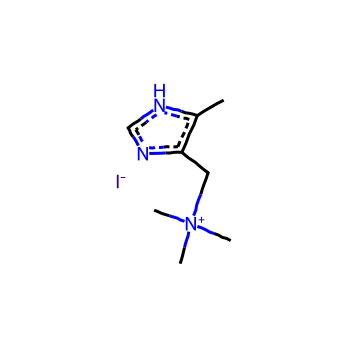 Cc1[nH]cnc1C[N+](C)(C)C.[I-]